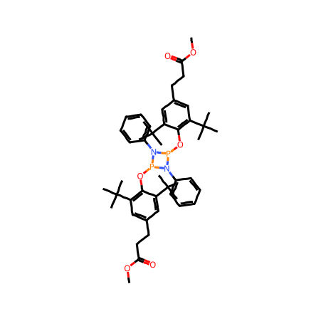 COC(=O)CCc1cc(C(C)(C)C)c(OP2N(c3ccccc3)P(Oc3c(C(C)(C)C)cc(CCC(=O)OC)cc3C(C)(C)C)N2c2ccccc2)c(C(C)(C)C)c1